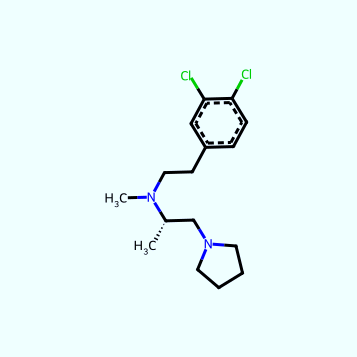 C[C@@H](CN1CCCC1)N(C)CCc1ccc(Cl)c(Cl)c1